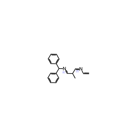 C=C/N=C\C(C)/C=N/C(c1ccccc1)c1ccccc1